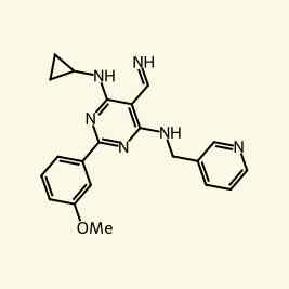 COc1cccc(-c2nc(NCc3cccnc3)c(C=N)c(NC3CC3)n2)c1